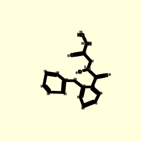 O=C(C[S+]([O-])C(=O)c1ccccc1Cc1ccccc1)NO